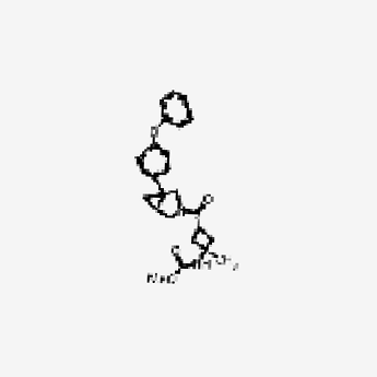 COC(=O)N[C@]1(C)C[C@H](C(=O)N2CC3CC3(c3ccc(Oc4ccccc4)cc3)C2)C1